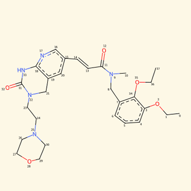 CCOc1cccc(CN(C)C(=O)C=Cc2cnc3c(c2)CN(CCN2CCOCC2)C(=O)N3)c1OCC